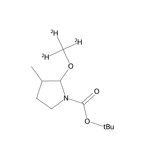 [2H]C([2H])([2H])OC1C(C)CCN1C(=O)OC(C)(C)C